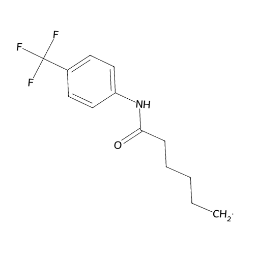 [CH2]CCCCC(=O)Nc1ccc(C(F)(F)F)cc1